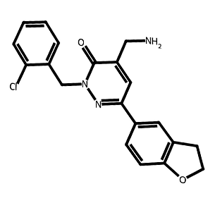 NCc1cc(-c2ccc3c(c2)CCO3)nn(Cc2ccccc2Cl)c1=O